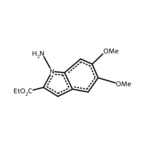 CCOC(=O)c1cc2cc(OC)c(OC)cc2n1N